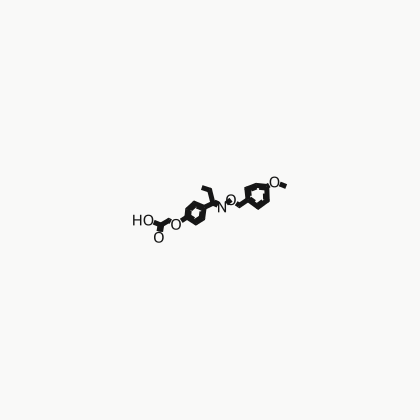 CC/C(=N\OCc1ccc(OC)cc1)c1ccc(OCC(=O)O)cc1